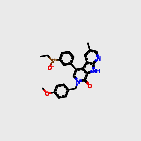 CC[S+]([O-])c1cccc(-c2cn(Cc3ccc(OC)cc3)c(=O)c3[nH]c4ncc(C)cc4c23)c1